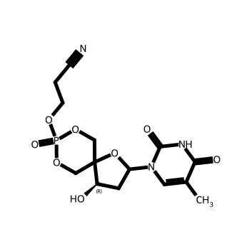 Cc1cn(C2C[C@@H](O)C3(COP(=O)(OCCC#N)OC3)O2)c(=O)[nH]c1=O